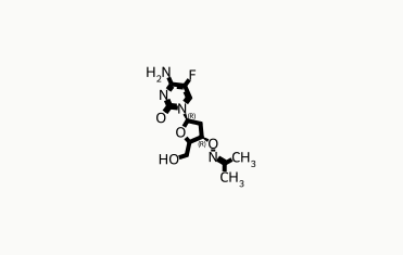 CC(C)=NO[C@@H]1C[C@H](n2cc(F)c(N)nc2=O)OC1CO